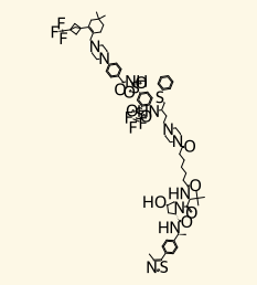 Cc1ncsc1-c1ccc([C@H](C)NC(=O)[C@@H]2C[C@@H](O)CN2C(=O)C(NC(=O)CCCCCC(=O)N2CCN(CCC(CSc3ccccc3)Nc3ccc(S(=O)(=O)NC(=O)c4ccc(N5CCN(CC6=C(C78CC(C(F)(F)F)(C7)C8)CC(C)(C)CC6)CC5)cc4)cc3S(=O)(=O)C(F)(F)F)CC2)C(C)(C)C)cc1